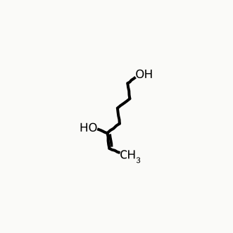 C/C=C(/O)CCCCO